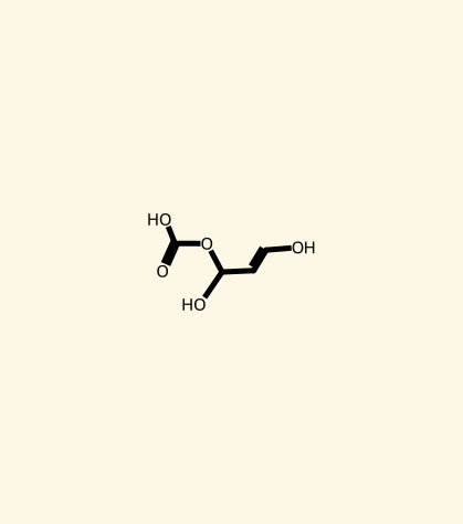 O=C(O)OC(O)C=CO